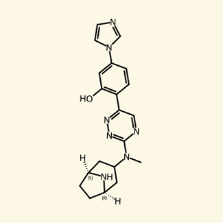 CN(c1ncc(-c2ccc(-n3ccnc3)cc2O)nn1)C1C[C@H]2CC[C@@H](C1)N2